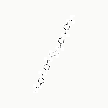 COC(=O)Oc1ccc(C(=O)Oc2ccc(C(=O)OC3COC4C(OC(=O)c5ccc(OC(=O)c6ccc(OC(=O)OC)cc6)cc5)COC34)cc2)cc1